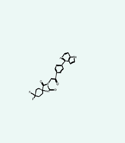 O=C(CN1C(=O)NC2(CCC(F)(F)CC2)C1=O)c1ccc(-c2nccc3[nH]ccc23)cc1